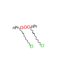 CCCC(CCC=CCCCCCCCCl)OCOCOC(CCC)CCC=CCCCCCCCCl